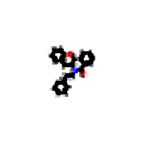 O=C(c1ccccc1)N(/C=C/c1ccccc1)C(CO)Cc1ccccc1